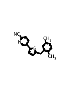 Cc1ccc(C)c(Cc2ccc(-c3ccc(C#N)nc3)s2)c1